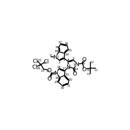 Cn1cc(-c2cn(C(=O)OC(C)(C)C)c(=O)n2-c2cn(C(=O)OCC(Cl)(Cl)Cl)c3ccccc23)c2ccccc21